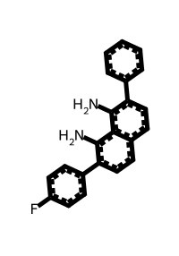 Nc1c(-c2ccccc2)ccc2ccc(-c3ccc(F)cc3)c(N)c12